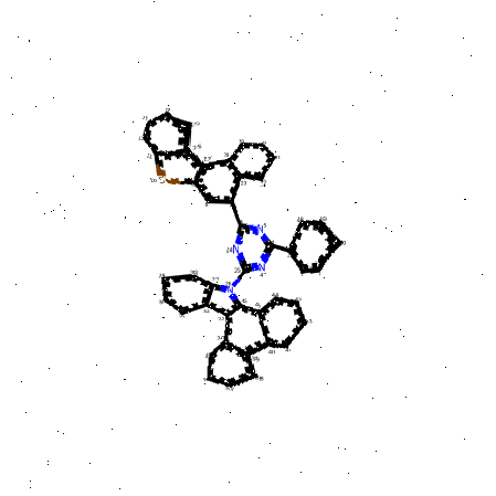 c1ccc(-c2nc(-c3cc4sc5ccccc5c4c4ccccc34)nc(-n3c4ccccc4c4c5ccccc5c5ccccc5c43)n2)cc1